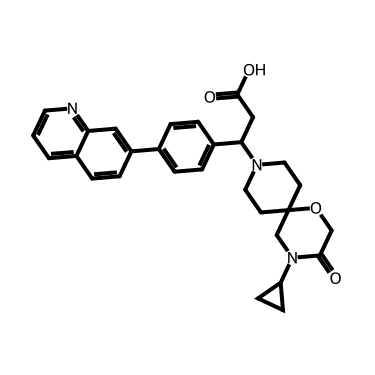 O=C(O)CC(c1ccc(-c2ccc3cccnc3c2)cc1)N1CCC2(CC1)CN(C1CC1)C(=O)CO2